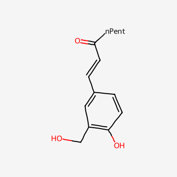 CCCCCC(=O)C=Cc1ccc(O)c(CO)c1